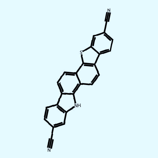 N#Cc1ccc2c(c1)[nH]c1c2ccc2c1ccc1c3ccc(C#N)cc3sc12